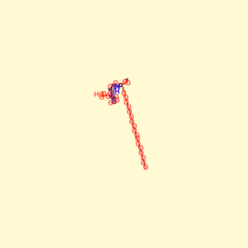 COCCOCCOCCOCCOCCOCCOCOCCOCCOCCOCCOCCOCCOCCOCCOCCOCCCc1cc(NC(=O)[C@H](C)NC(=O)[C@@H](NC(=O)CN2C(=O)[C@@H](N3C(=O)C=CC3=O)C[C@H]2COCCS(=O)(=O)O)C(C)C)ccc1COC(=O)C(C)(C)C